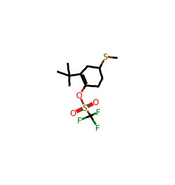 CSC1CCC(OS(=O)(=O)C(F)(F)F)=C(C(C)(C)C)C1